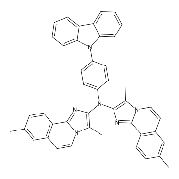 Cc1ccc2c(ccn3c(C)c(N(c4ccc(-n5c6ccccc6c6ccccc65)cc4)c4nc5c6ccc(C)cc6ccn5c4C)nc23)c1